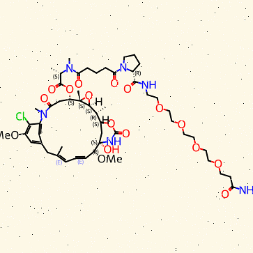 COc1cc2cc(c1Cl)N(C)C(=O)C[C@H](OC(=O)[C@H](C)N(C)C(=O)CCCC(=O)N1CCC[C@@H]1C(=O)NCCOCCOCCOCCOCCC(N)=O)[C@]1(C)O[C@H]1[C@H](C)[C@@H]1C[C@@](O)(NC(=O)O1)[C@H](OC)/C=C/C=C(\C)C2